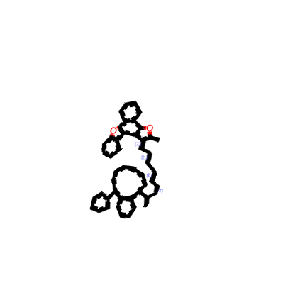 C=C(\C=C/C=C/C=C/C=c1\c(=C)oc2c3ccccc3c3oc4ccccc4c3c12)c1ccccccc(-c2ccccc2)c2ccccc12